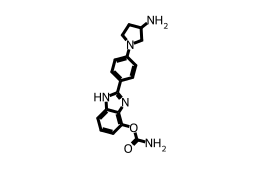 NC(=O)Oc1cccc2[nH]c(-c3ccc(N4CCC(N)C4)cc3)nc12